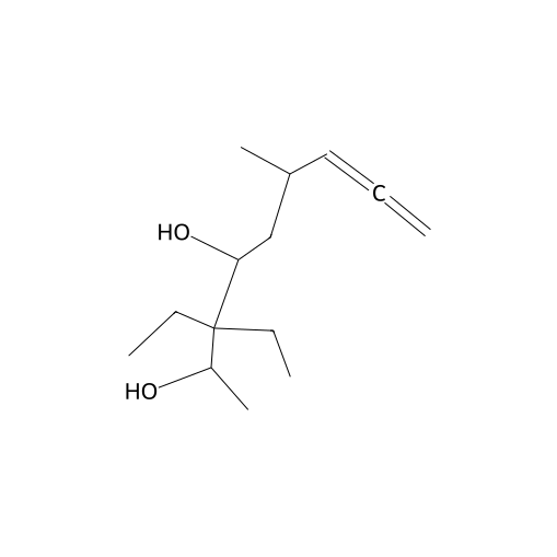 C=C=CC(C)CC(O)C(CC)(CC)C(C)O